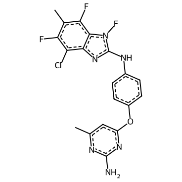 Cc1cc(Oc2ccc(Nc3nc4c(Cl)c(F)c(C)c(F)c4n3F)cc2)nc(N)n1